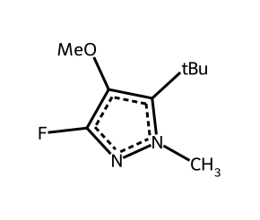 COc1c(F)nn(C)c1C(C)(C)C